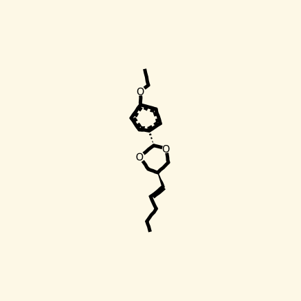 CCC/C=C/[C@H]1CO[C@H](c2ccc(OCC)cc2)OC1